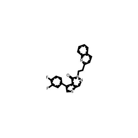 O=c1c2c(-c3ccc(F)c(F)c3)csc2cnn1CCc1ccc2ccccc2n1